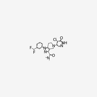 CN(C)C(=O)c1nn(-c2cccc(C(F)F)c2)c2c1CN(c1cn[nH]c(=O)c1Cl)CC2